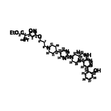 CCOC(=O)C(c1cc(OCCCN2CCC(c3cnc(N4CCN5c6cc(-c7ccccc7O)nnc6NC[C@@H]5C4)nc3)CC2)no1)C(C)C